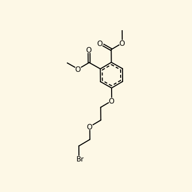 COC(=O)c1ccc(OCCOCCBr)cc1C(=O)OC